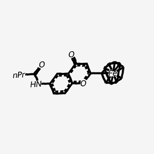 CCCC(=O)Nc1ccc2oc([C]34[CH]5[CH]6[CH]7[CH]3[Fe]6754389%10[CH]4[CH]3[CH]8[CH]9[CH]4%10)cc(=O)c2c1